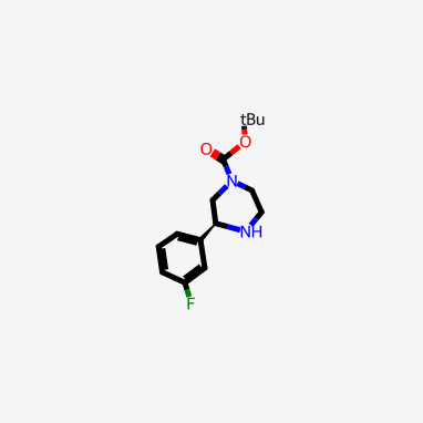 CC(C)(C)OC(=O)N1CCN[C@@H](c2cccc(F)c2)C1